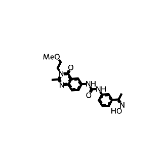 COCCn1c(C)nc2ccc(NC(=O)Nc3cccc(/C(C)=N\O)c3)cc2c1=O